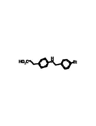 CCc1ccc(CNc2ccc(CCC(=O)O)cc2)cc1